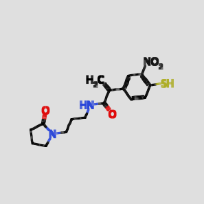 C=C(C(=O)NCCCN1CCCC1=O)c1ccc(S)c([N+](=O)[O-])c1